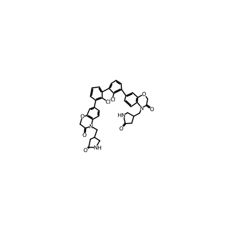 O=C1CC(CN2C(=O)COc3cc(-c4cccc(-c5cccc(-c6ccc7c(c6)OCC(=O)N7CC6CNC(=O)C6)c5Cl)c4Cl)ccc32)CN1